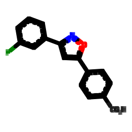 O=C(O)c1ccc(-c2cc(-c3cccc(F)c3)no2)cc1